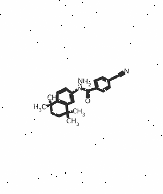 CC1(C)CCC(C)(C)c2cc(N(N)C(=O)c3ccc(C#N)cc3)ccc21